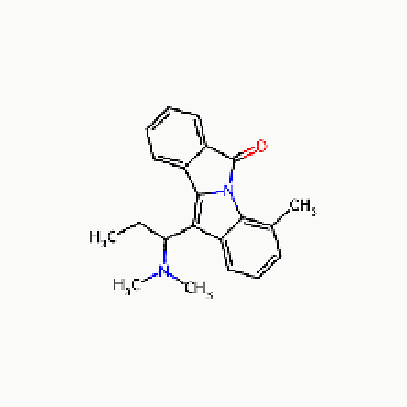 CCC(c1c2n(c3c(C)cccc13)C(=O)c1ccccc1-2)N(C)C